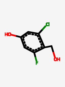 OCc1c(F)cc(O)cc1Cl